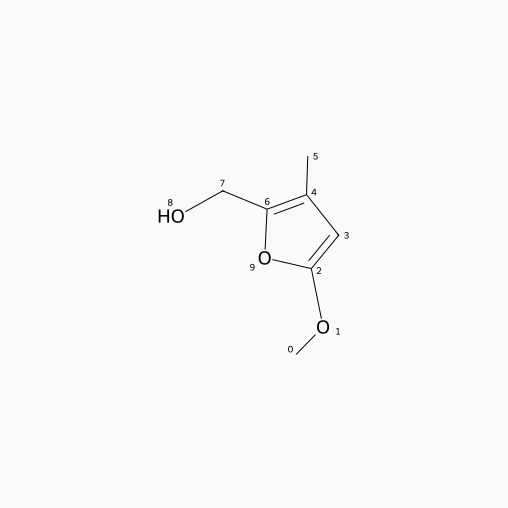 COc1cc(C)c(CO)o1